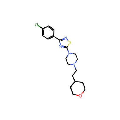 Clc1ccc(-c2nsc(N3CCN(CCC4CCOCC4)CC3)n2)cc1